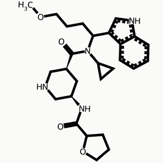 COCCCC(c1c[nH]c2ccccc12)N(C(=O)[C@@H]1CNC[C@H](NC(=O)C2CCCO2)C1)C1CC1